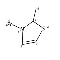 CC(C)N1C=CSC1C